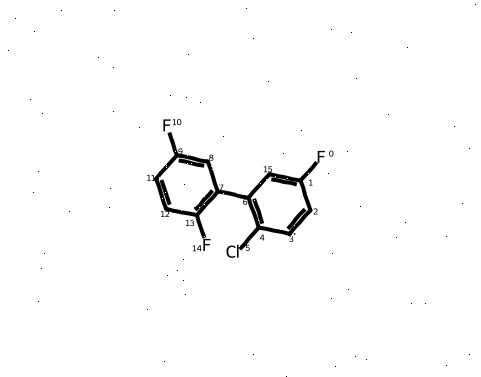 Fc1c[c]c(Cl)c(-c2cc(F)ccc2F)c1